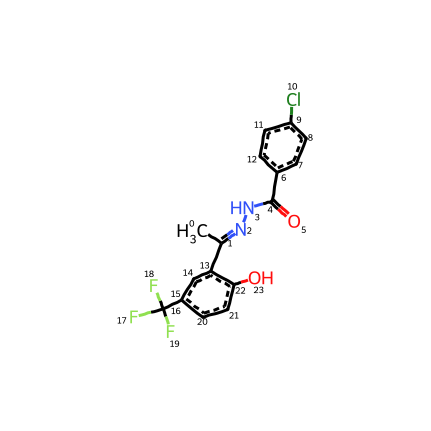 C/C(=N\NC(=O)c1ccc(Cl)cc1)c1cc(C(F)(F)F)ccc1O